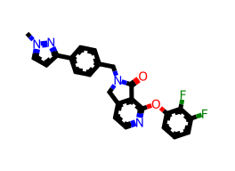 Cn1ccc(-c2ccc(CN3Cc4ccnc(Oc5cccc(F)c5F)c4C3=O)cc2)n1